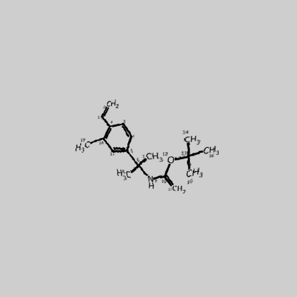 C=Cc1ccc(C(C)(C)NC(=C)OC(C)(C)C)cc1C